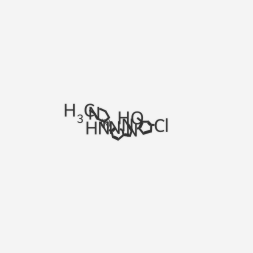 CN1CCC[C@@H](Nc2ccc3cn(-c4ccc(Cl)cc4O)nc3n2)C1